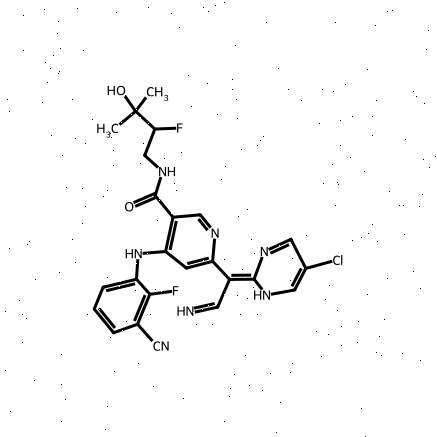 CC(C)(O)C(F)CNC(=O)c1cnc(/C(C=N)=C2\N=CC(Cl)=CN2)cc1Nc1cccc(C#N)c1F